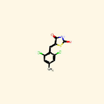 Cc1cc(Cl)c(/C=C2\SC(=O)NC2=O)c(Cl)c1